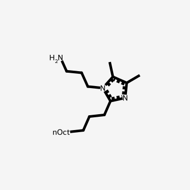 CCCCCCCCCCCc1nc(C)c(C)n1CCCN